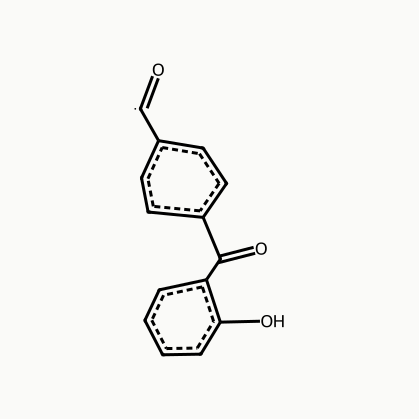 O=[C]c1ccc(C(=O)c2ccccc2O)cc1